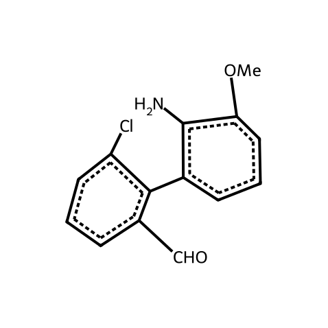 COc1cccc(-c2c(Cl)cccc2C=O)c1N